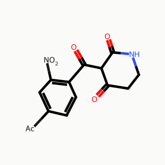 CC(=O)c1ccc(C(=O)C2C(=O)CCNC2=O)c([N+](=O)[O-])c1